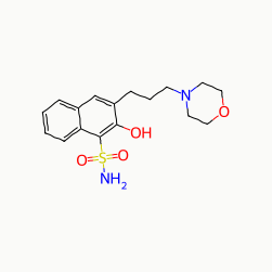 NS(=O)(=O)c1c(O)c(CCCN2CCOCC2)cc2ccccc12